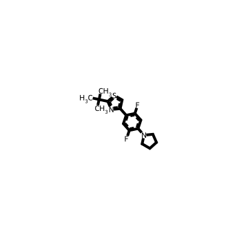 CC(C)(C)c1nc(-c2cc(F)c(N3CCCC3)cc2F)cs1